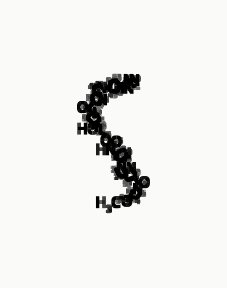 CCO[C@@H]1CCN(C(=O)c2cnc3c(ccn3-c3cncc(NC(=O)OCCCC4(O)CCN(C(=O)c5cnc6c(ccn6-c6ccc(-c7nnc[nH]7)cc6)c5)CC4)c3)c2)C1